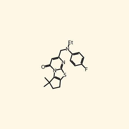 CCN(Cc1cc(=O)n2c3c(sc2n1)CCC3(C)C)c1ccc(F)cc1